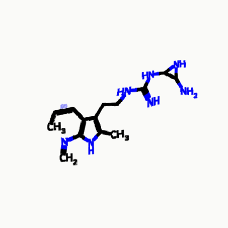 C=Nc1[nH]c(C)c(CCNC(=N)NC2NC2N)c1/C=C\C